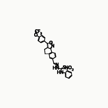 O=[N+]([O-])c1ccccc1NC(=S)N/N=C/c1ccc2c(c1)CCc1c-2noc1-c1ccc(OC(F)(F)F)cc1